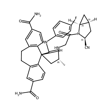 C[C@H](CC1(C(=N)Nc2ccc(F)cc2)c2ccc(C(N)=O)cc2CCc2cc(C(N)=O)ccc21)NCC(=O)N1[C@H](C#N)C[C@@H]2C[C@@H]21